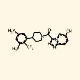 N#Cc1ccc2nnc(C(=O)N3CCC(c4cc(P)cc(P)c4C(F)(F)F)CC3)n2c1